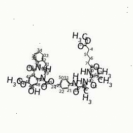 COC(=O)CCCCC(=O)N[C@H](C(=O)N[C@@H](C)C(=O)Nc1ccc(COC(=O)N2C[C@@H]3Cc4ccccc4N3C(=O)c3cc(OC)c(O)cc32)cc1)C(C)C